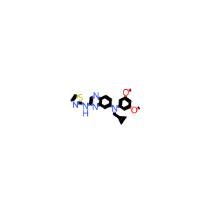 COc1cc(OC)cc(N(CC2CC2)c2ccc3ncc(Nc4nccs4)nc3c2)c1